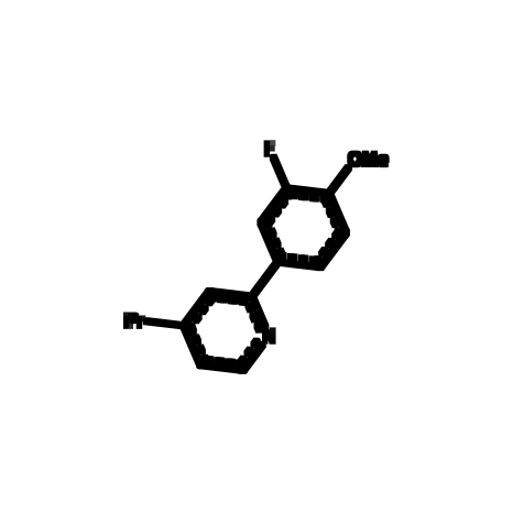 COc1ccc(-c2cc(C(C)C)ccn2)cc1F